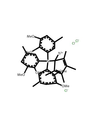 COc1cc(C)cc([Si](c2cc(C)cc(OC)c2OC)(c2cc(C)cc(OC)c2OC)[C]2([Ti+3])C(C)=C(C)C(C)=C2C)c1OC.[Cl-].[Cl-].[Cl-]